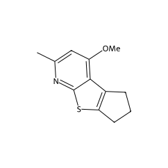 COc1cc(C)nc2sc3c(c12)CCC3